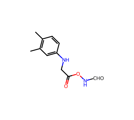 Cc1ccc(NCC(=O)ONC=O)cc1C